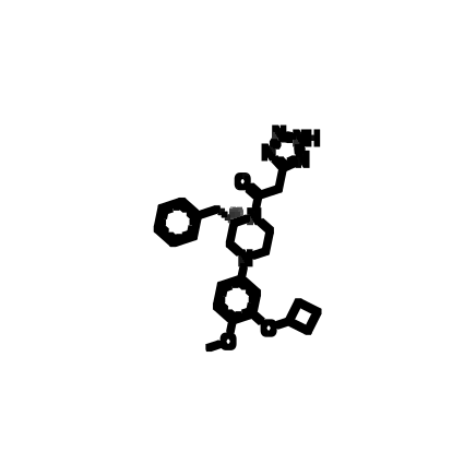 COc1ccc(N2CCN(C(=O)Cc3nn[nH]n3)[C@@H](Cc3ccccc3)C2)cc1OC1CCC1